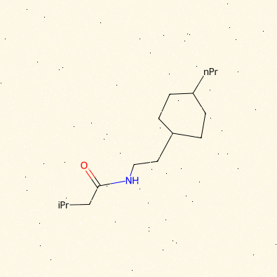 CCCC1CCC(CCNC(=O)CC(C)C)CC1